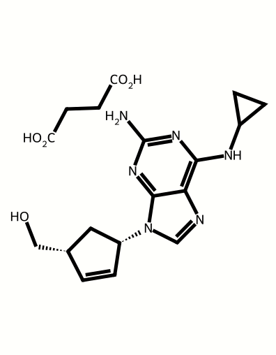 Nc1nc(NC2CC2)c2ncn([C@@H]3C=C[C@H](CO)C3)c2n1.O=C(O)CCC(=O)O